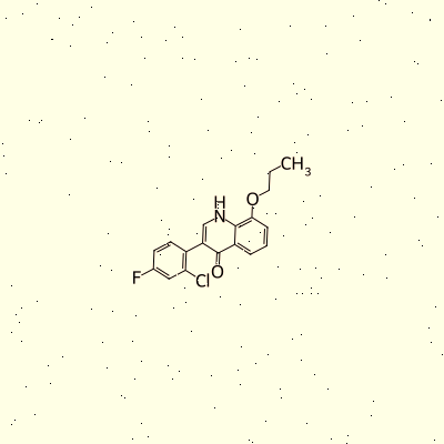 CCCOc1cccc2c(=O)c(-c3ccc(F)cc3Cl)c[nH]c12